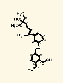 CC/C(=C\CCC(O)(CC)CC)c1cccc(OCc2ccc(CO)c(CO)c2)c1